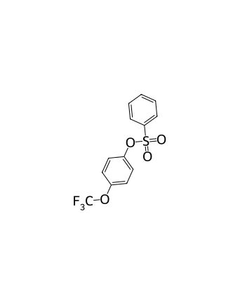 O=S(=O)(Oc1ccc(OC(F)(F)F)cc1)c1ccccc1